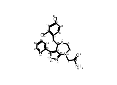 NC(=O)CN1CCSC(Cc2ccc(Cl)cc2Cl)c2c1n[nH]c2-c1ccccn1